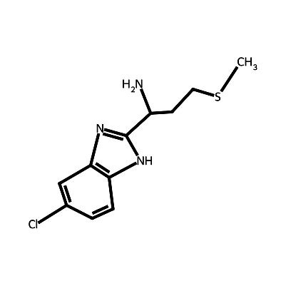 CSCCC(N)c1nc2cc(Cl)ccc2[nH]1